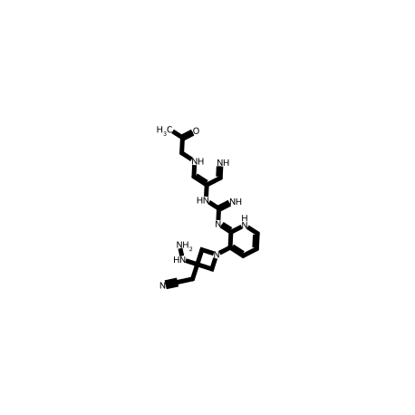 CC(=O)CN/C=C(\C=N)NC(=N)/N=c1\[nH]cccc1N1CC(CC#N)(NN)C1